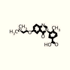 Cc1ccc(C(=O)O)cc1-n1cnc2ccc(OCCN(C)C)cc2c1=O